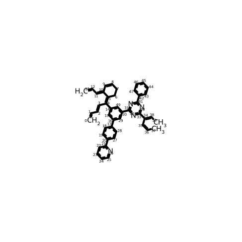 C=C/C=C/C(=C1/CCC=C/C1=C\C=C)c1cc(-c2ccc(-c3ccccn3)cc2)cc(-c2nc(C(/C=C\C)=C/C)nc(-c3ccccc3)n2)c1